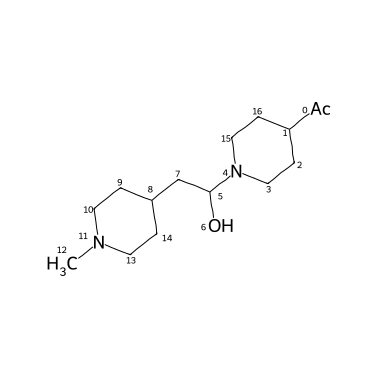 CC(=O)C1CCN(C(O)CC2CCN(C)CC2)CC1